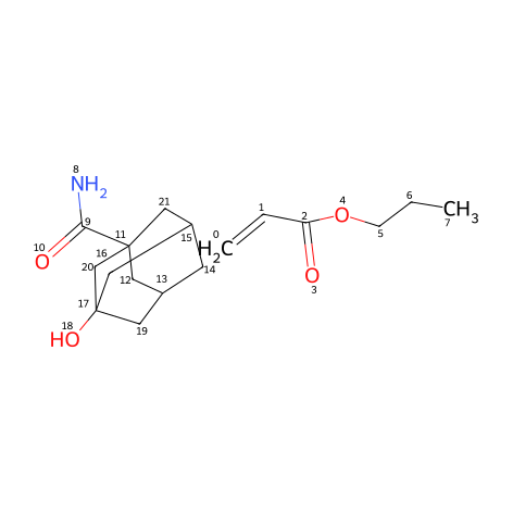 C=CC(=O)OCCC.NC(=O)C12CC3CC(CC(O)(C3)C1)C2